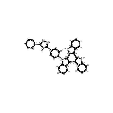 c1ccc(-c2nnc(-c3ccc(-n4c5ccccc5c5c6c7ccccc7sc6c6c7ccccc7sc6c54)cc3)o2)cc1